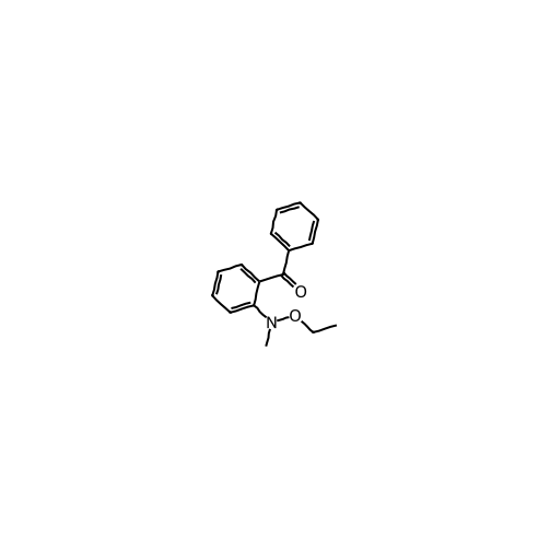 CCON(C)c1ccccc1C(=O)c1ccccc1